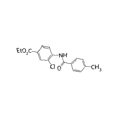 CCOC(=O)c1ccc(NC(=O)c2ccc(C)cc2)c(Cl)c1